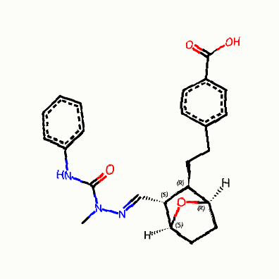 CN(N=C[C@@H]1[C@@H](CCc2ccc(C(=O)O)cc2)[C@H]2CC[C@@H]1O2)C(=O)Nc1ccccc1